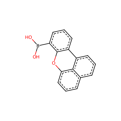 OB(O)c1cccc2c1Oc1cccc3cccc-2c13